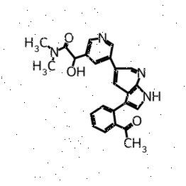 CC(=O)c1ccccc1-c1c[nH]c2ncc(-c3cncc(C(O)C(=O)N(C)C)c3)cc12